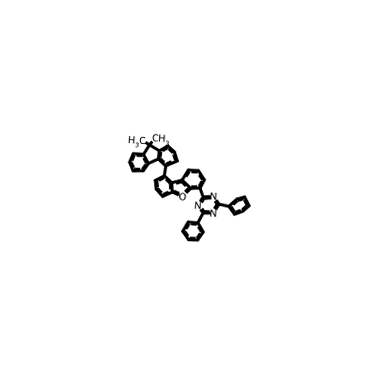 CC1(C)c2ccccc2-c2c(-c3cccc4oc5c(-c6nc(-c7ccccc7)nc(-c7ccccc7)n6)cccc5c34)cccc21